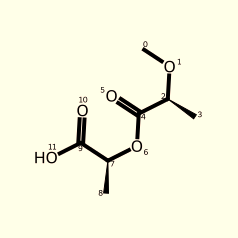 CO[C@@H](C)C(=O)O[C@@H](C)C(=O)O